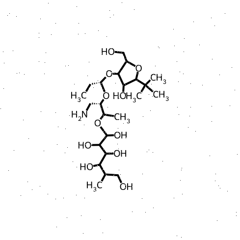 CC[C@H](OC1C(CO)OC(C(C)(C)C)C1O)O[C@@H](CN)C(C)OC(O)C(O)C(O)C(O)C(C)CO